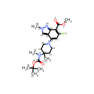 COC(=O)c1c(F)cc(N2CCC(C)(N(C)C(=O)OC(C)(C)C)CC2)c2cn(C)nc12